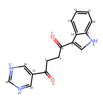 O=C(CCC(=O)c1c[nH]c2ccccc12)c1cncnc1